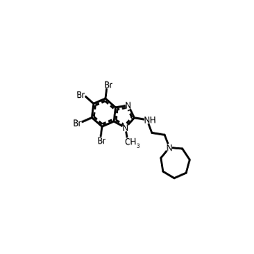 Cn1c(NCCN2CCCCCC2)nc2c(Br)c(Br)c(Br)c(Br)c21